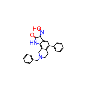 O=C1Nc2c(cc(-c3ccccc3)c3c2CN(Cc2ccccc2)CC3)C1=NO